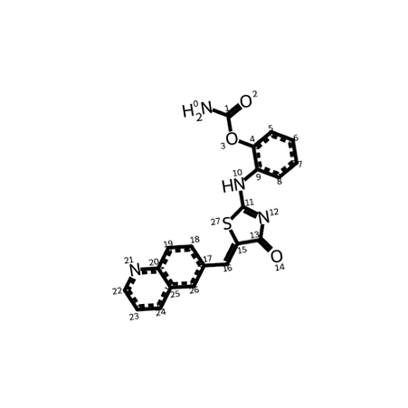 NC(=O)Oc1ccccc1NC1=NC(=O)/C(=C/c2ccc3ncccc3c2)S1